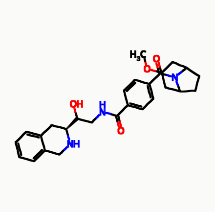 COC1CC2CCC(C1)N2C(=O)c1ccc(C(=O)NCC(O)[C@@H]2Cc3ccccc3CN2)cc1